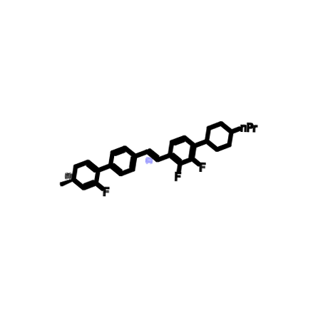 CCCC1CCC(c2ccc(/C=C/c3ccc(C4=CC[C@H](C)C=C4F)cc3)c(F)c2F)CC1